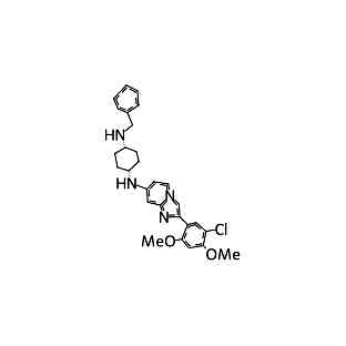 COc1cc(OC)c(-c2cn3ccc(N[C@H]4CC[C@@H](NCc5ccccc5)CC4)cc3n2)cc1Cl